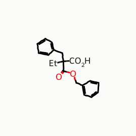 CCC(Cc1ccccc1)(C(=O)O)C(=O)OCc1ccccc1